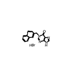 Br.O=c1c2nc[nH]c2ncn1Cc1ccc2ccccc2c1